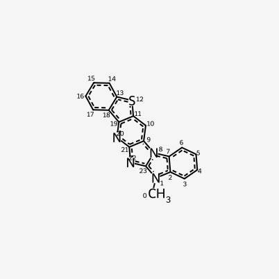 Cn1c2ccccc2n2c3cc4sc5ccccc5c4nc3nc12